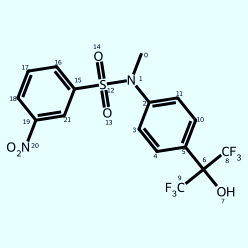 CN(c1ccc(C(O)(C(F)(F)F)C(F)(F)F)cc1)S(=O)(=O)c1cccc([N+](=O)[O-])c1